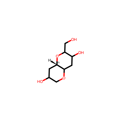 OCC1O[C@H]2CC(O)COC2CC1O